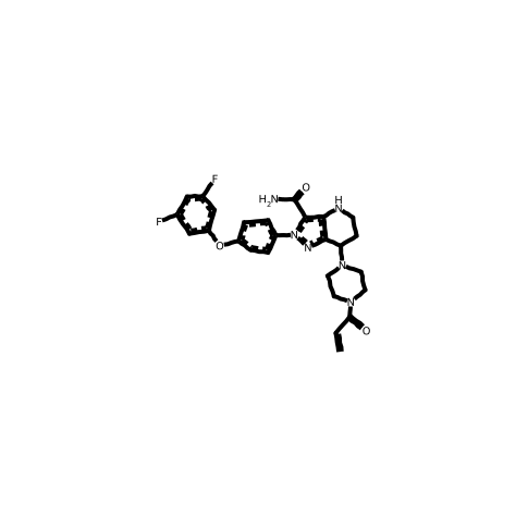 C=CC(=O)N1CCN(C2CCNc3c2nn(-c2ccc(Oc4cc(F)cc(F)c4)cc2)c3C(N)=O)CC1